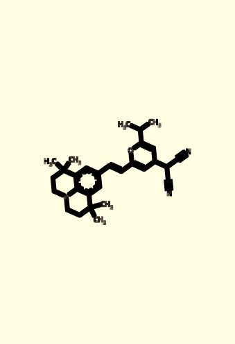 CC(C)C1=CC(C(C#N)C#N)C=C(C=Cc2cc3c4c(c2)C(C)(C)CCN4CCC3(C)C)O1